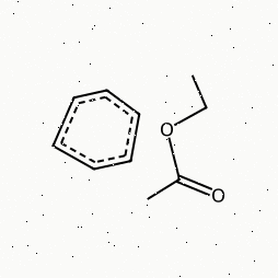 CCOC(C)=O.c1ccccc1